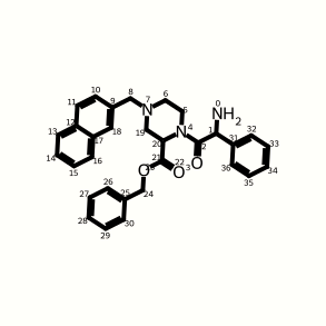 NC(C(=O)N1CCN(Cc2ccc3ccccc3c2)CC1C(=O)OCc1ccccc1)c1ccccc1